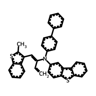 C=C/C(=C\c1c(C)sc2ccccc12)N(c1ccc(-c2ccccc2)cc1)c1ccc2sc3ccccc3c2c1